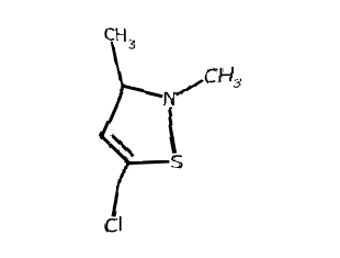 CC1C=C(Cl)SN1C